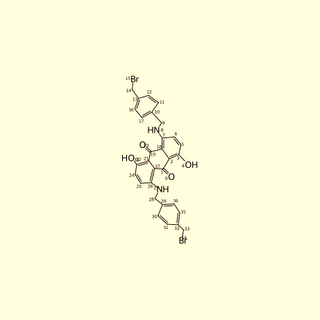 O=C1c2c(O)ccc(NCc3ccc(CBr)cc3)c2C(=O)c2c(O)ccc(NCc3ccc(CBr)cc3)c21